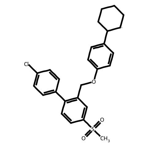 CS(=O)(=O)c1ccc(-c2ccc(Cl)cc2)c(COc2ccc(C3[CH]CCCC3)cc2)c1